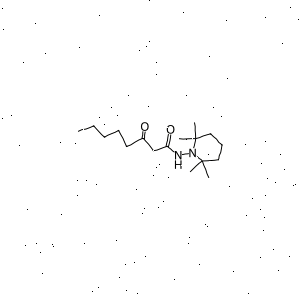 CCCCCC(=O)CC(=O)NN1C(C)(C)CCCC1(C)C